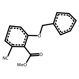 COC(=O)c1c(C#N)cccc1OCc1ccccc1